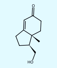 C[C@]12CCC(=O)C=C1CC[C@@H]2CO